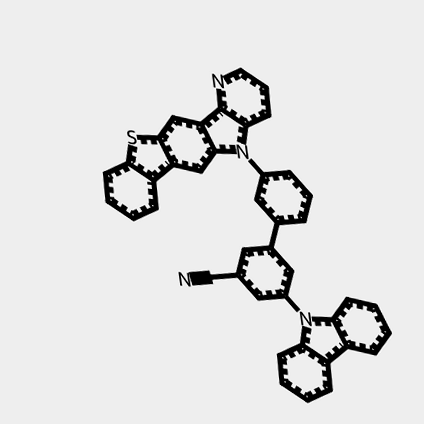 N#Cc1cc(-c2cccc(-n3c4cc5c(cc4c4ncccc43)sc3ccccc35)c2)cc(-n2c3ccccc3c3ccccc32)c1